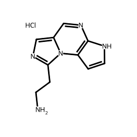 Cl.NCCc1ncc2cnc3[nH]ccc3n12